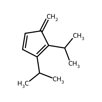 C=C1C=CC(C(C)C)=C1C(C)C